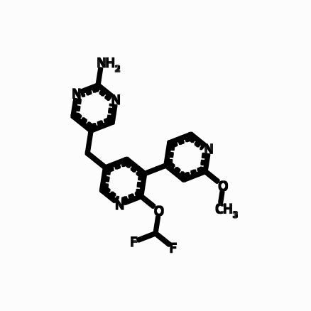 COc1cc(-c2cc(Cc3cnc(N)nc3)cnc2OC(F)F)ccn1